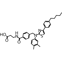 CCCCCc1ccc(-c2csc(N(Cc3ccc(C(=O)NCCC(=O)O)cc3)c3ccc(C)c(C)c3)n2)cc1